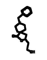 O=C1OC(CCO)CC12CCN(Cc1ccccc1)CC2